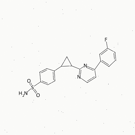 NS(=O)(=O)c1ccc(C2CC2c2nccc(-c3cccc(F)c3)n2)cc1